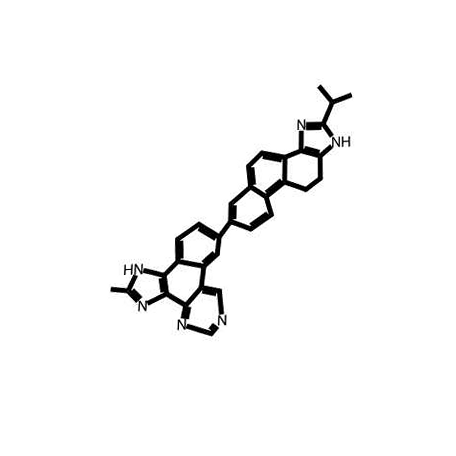 Cc1nc2c3ncncc3c3cc(-c4ccc5c6c(ccc5c4)-c4nc(C(C)C)[nH]c4CC6)ccc3c2[nH]1